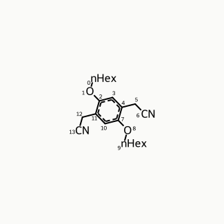 CCCCCCOc1cc(CC#N)c(OCCCCCC)cc1CC#N